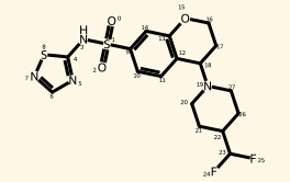 O=S(=O)(Nc1ncns1)c1ccc2c(c1)OCCC2N1CCC(C(F)F)CC1